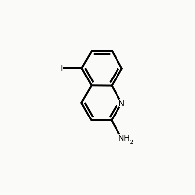 Nc1ccc2c(I)cccc2n1